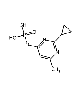 Cc1cc(OP(=O)(O)S)nc(C2CC2)n1